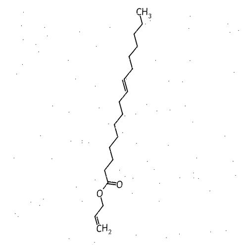 C=CCOC(=O)CCCCCCCC=CCCCCCC